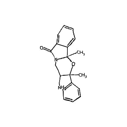 CC1(c2ccccc2)OC2(C)c3ccccc3C(=O)N2CC1N